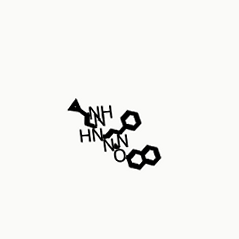 c1ccc(-c2cc(Nc3cc(C4CC4)[nH]n3)nc(Oc3ccc4ccccc4c3)n2)cc1